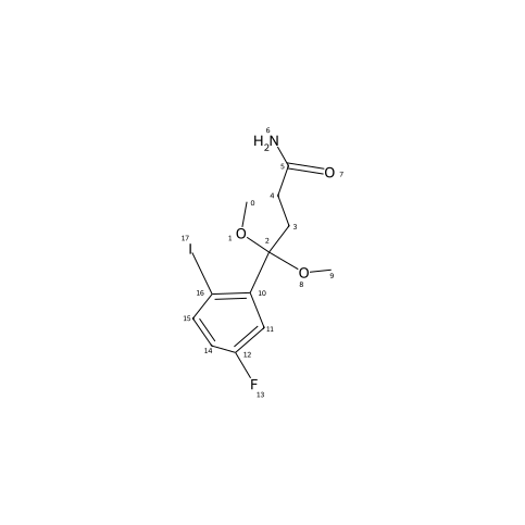 COC(CCC(N)=O)(OC)c1cc(F)ccc1I